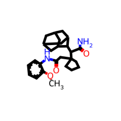 COc1ccccc1NC(=O)CC1(C(C(N)=O)C2C3CC4CC(C3)CC2C4)CCCC1